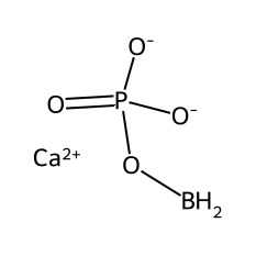 BOP(=O)([O-])[O-].[Ca+2]